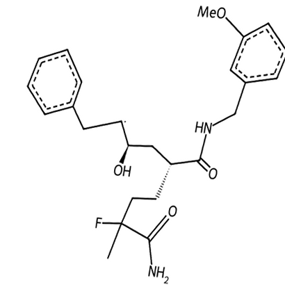 COc1cccc(CNC(=O)[C@H](CCC(C)(F)C(N)=O)C[C@@H](O)[CH]Cc2ccccc2)c1